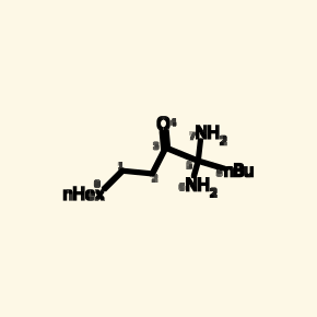 CCCCCCCCC(=O)C(N)(N)CCCC